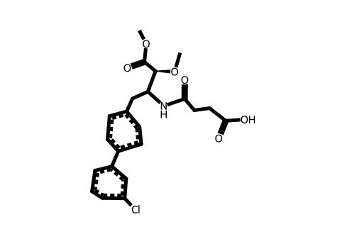 COC(=O)[C@@H](OC)C(Cc1ccc(-c2cccc(Cl)c2)cc1)NC(=O)CCC(=O)O